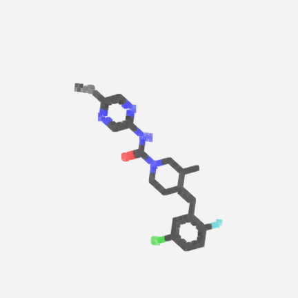 COc1cnc(NC(=O)N2CC/C(=C\c3cc(Cl)ccc3F)C(C)C2)cn1